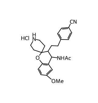 COc1ccc2c(c1)C(NC(C)=O)C(CCc1ccc(C#N)cc1)C1(CCNCC1)O2.Cl